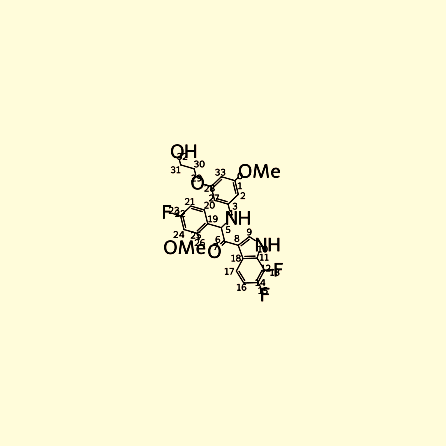 COc1cc(NC(C(=O)c2c[nH]c3c(F)c(F)ccc23)c2ccc(F)cc2OC)cc(OCCO)c1